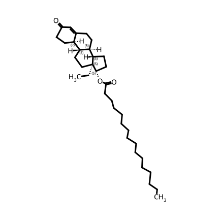 CCCCCCCCCCCCCCCC(=O)O[C@H]1CC[C@H]2[C@@H]3CCC4=CC(=O)CC[C@@H]4[C@H]3CC[C@]12CC